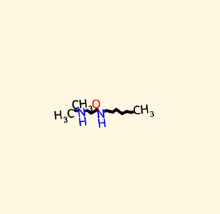 CCCCCCCNC(=O)CCNC(C)C